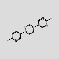 Cc1ccc(-c2ccc(-c3cnc(C)nc3)cn2)cn1